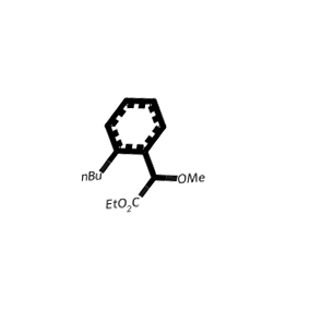 CCCCc1ccccc1C(OC)C(=O)OCC